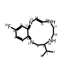 CC(C)C1C/N=c2/ccc(F)c/c2=N/C=C/NCCN1